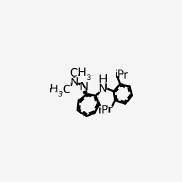 CC(C)c1cccc(C(C)C)c1Nc1ccccc/c1=N\N(C)C